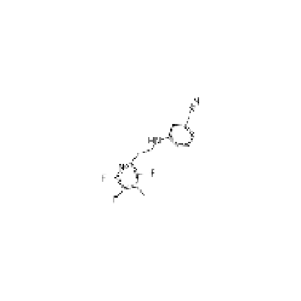 Cc1c(F)c(F)nc(CCNc2cccc(C#N)c2)c1F